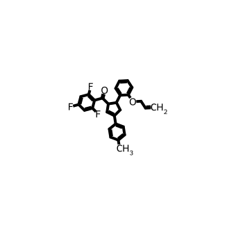 C=CCOc1ccccc1C1CC(c2ccc(C)cc2)=CC1C(=O)c1c(F)cc(F)cc1F